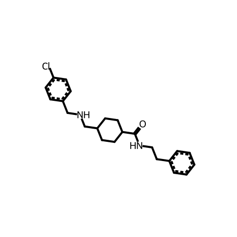 O=C(NCCc1ccccc1)C1CCC(CNCc2ccc(Cl)cc2)CC1